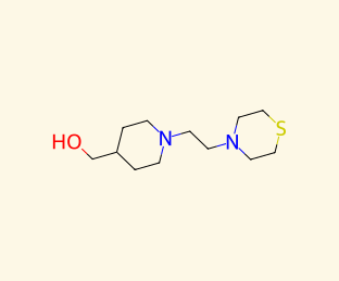 OCC1CCN(CCN2CCSCC2)CC1